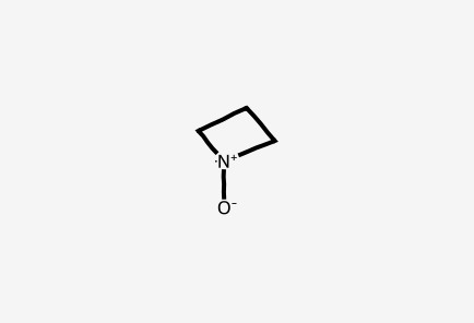 [O-][N+]1CCC1